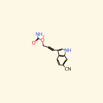 N#Cc1ccc2c(C#CCOC(N)=O)c[nH]c2c1